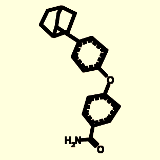 NC(=O)c1ccc(Oc2ccc(C3CC4CCC3CC4)cc2)cc1